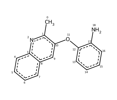 Cc1nc2ccccc2cc1Oc1ccccc1N